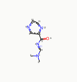 CN(C)/C=N/C(=O)c1cnccn1